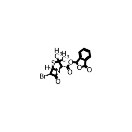 CC1(C)S[C@@H]2[C@H](Br)C(=O)N2[C@H]1C(=O)OC1OC(=O)c2ccccc21